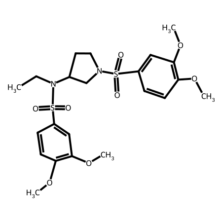 CCN(C1CCN(S(=O)(=O)c2ccc(OC)c(OC)c2)C1)S(=O)(=O)c1ccc(OC)c(OC)c1